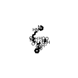 O=C(NCC(NS(=O)(=O)c1ccccc1)C(=O)O)C1=NOC(CCCCNc2ccccn2)C1.O=C(O)C(F)(F)F